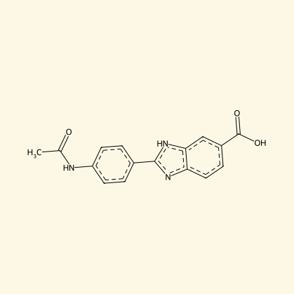 CC(=O)Nc1ccc(-c2nc3ccc(C(=O)O)cc3[nH]2)cc1